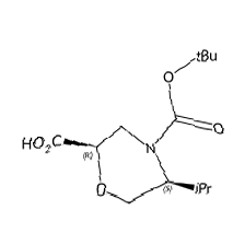 CC(C)[C@H]1CO[C@@H](C(=O)O)CN1C(=O)OC(C)(C)C